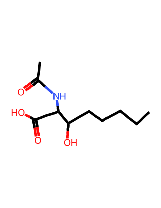 CCCCCC(O)C(NC(C)=O)C(=O)O